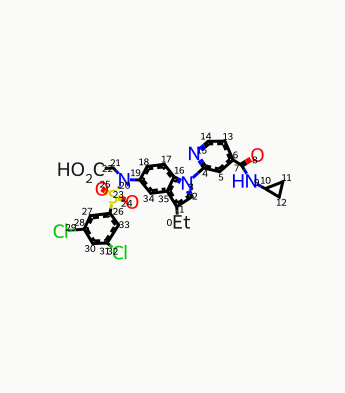 CCc1cn(-c2cc(C(=O)NC3CC3)ccn2)c2ccc(N(CC(=O)O)S(=O)(=O)c3cc(Cl)cc(Cl)c3)cc12